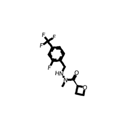 CN(NCc1ccc(C(F)(F)F)cc1F)C(=O)[C@@H]1CCO1